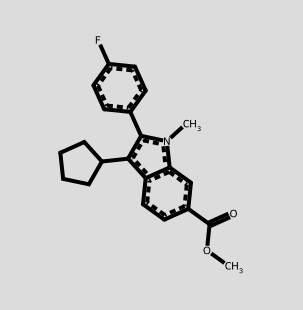 COC(=O)c1ccc2c(C3CCCC3)c(-c3ccc(F)cc3)n(C)c2c1